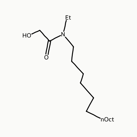 CCCCCCCCCCCCCCN(CC)C(=O)CO